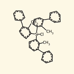 Cc1c(-c2ccccc2)cccc1[Si](Cl)(c1cccc(-c2ccccc2)c1C)c1cccc(-c2ccccc2)c1C